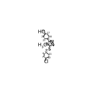 Cn1c(SCc2ccc(Cl)cc2)nnc1-c1ccc(O)cc1